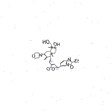 C=C1C(N2CCOCC2)CC2[C@](C)(CC[C@@H](O)[C@@]2(C)CO)C1/C=C/C1=CC(=C\C2=CN3C(=O)C(CC)N(C)C3C=C2)/OC1=O